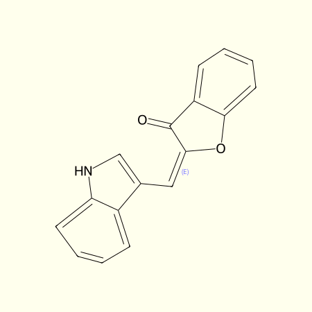 O=C1/C(=C\c2c[nH]c3ccccc23)Oc2ccccc21